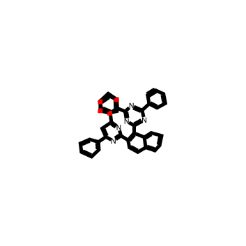 c1cccc(-c2nc(-c3ccccc3)nc(-c3c(-c4nc(-c5ccccc5)cc(-c5ccccc5)n4)ccc4ccccc34)n2)c#1